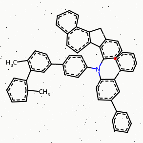 Cc1ccccc1-c1cc(-c2ccc(N(c3ccc(-c4ccccc4)cc3-c3ccccc3)c3cccc4c3-c3ccc5ccccc5c3C4)cc2)ccc1C